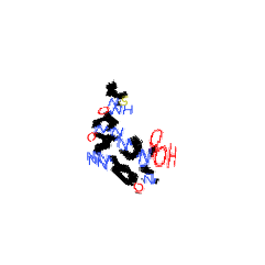 COc1ccc(Cn2nnnc2C=Cc2c(N3CCC(N(CCN(C)C)C(=O)O)CC3)nc3cc(C(=O)Nc4nc(C(C)(C)C)cs4)ccn3c2=O)cc1